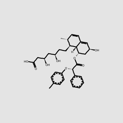 Cc1ccc(O[C@H](C(=O)O[C@H]2C[C@H](O)C=C3C=C[C@@H](C)[C@H](CC[C@@H](O)C[C@@H](O)CC(=O)O)[C@H]32)c2ccccc2)cc1